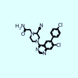 N#CC1CN(c2ncnc3cc(Cl)c(-c4ccc(Cl)cc4)cc23)CCN1CC(N)=O